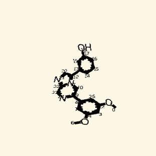 COc1cc(OC)cc(-c2cn3c(-c4cccc(O)c4)cnc3cn2)c1